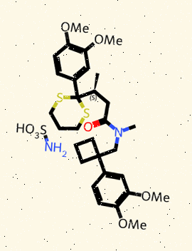 COc1ccc(C2(CN(C)C(=O)C[C@H](C)C3(c4ccc(OC)c(OC)c4)SCCCS3)CCC2)cc1OC.NS(=O)(=O)O